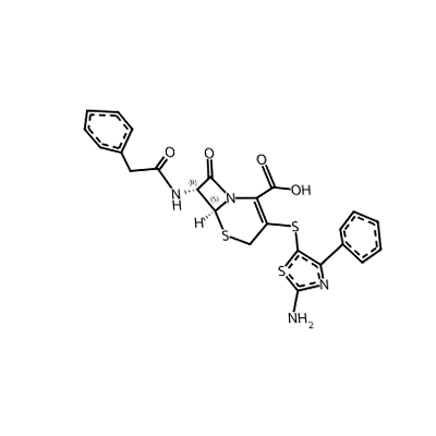 Nc1nc(-c2ccccc2)c(SC2=C(C(=O)O)N3C(=O)[C@@H](NC(=O)Cc4ccccc4)[C@@H]3SC2)s1